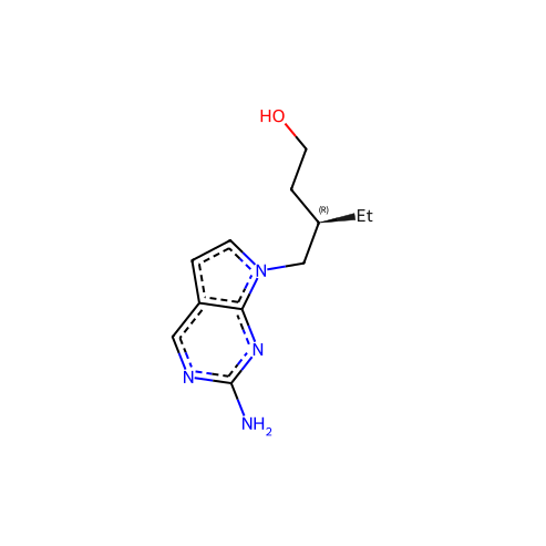 CC[C@H](CCO)Cn1ccc2cnc(N)nc21